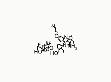 CCc1c(CO)cccc1Nc1c(C(N)=O)c(OC)nc2cc(OCCCN(C)C)ccc12.O=C(O)C(F)(F)F.O=C(O)C(F)(F)F